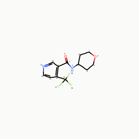 O=C(NC1CCOCC1)c1cnccc1C(F)(F)F